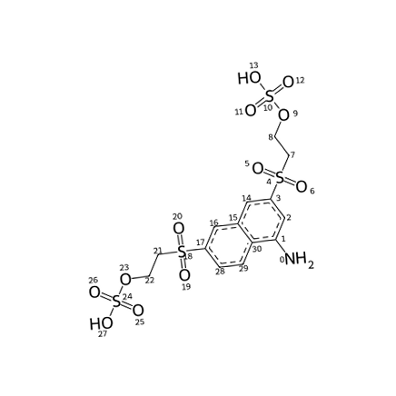 Nc1cc(S(=O)(=O)CCOS(=O)(=O)O)cc2cc(S(=O)(=O)CCOS(=O)(=O)O)ccc12